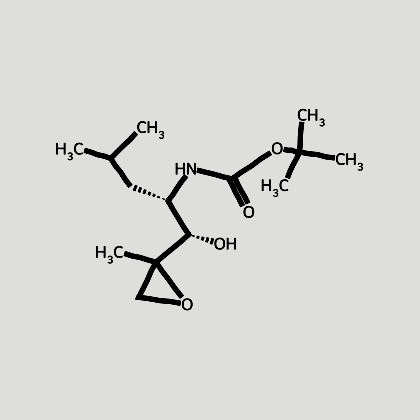 CC(C)C[C@H](NC(=O)OC(C)(C)C)[C@H](O)C1(C)CO1